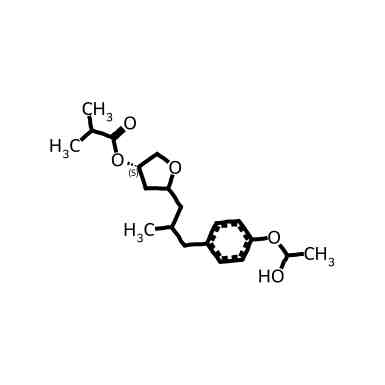 CC(Cc1ccc(OC(C)O)cc1)CC1C[C@H](OC(=O)C(C)C)CO1